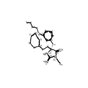 CCCCOc1cccc(C[C@@]2(CCC3CCCCC3)NC(=N)N(C)C2=O)c1